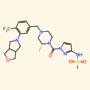 C[C@@H]1CN(Cc2ccc(C(F)(F)F)c(N3CC4COCC4C3)c2)CCN1C(=O)n1ccc(NS(C)(=O)=O)n1